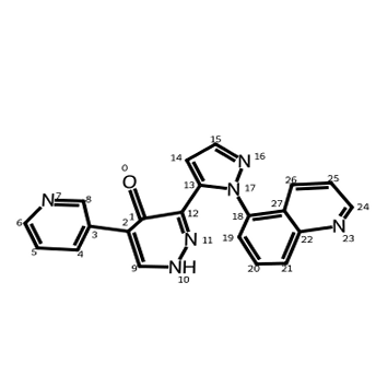 O=c1c(-c2cccnc2)c[nH]nc1-c1ccnn1-c1cccc2ncccc12